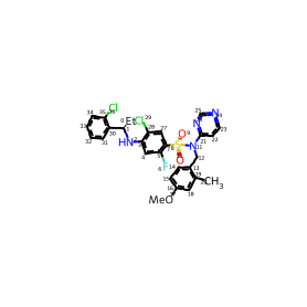 CC[C@H](Nc1cc(F)c(S(=O)(=O)N(Cc2ccc(OC)cc2C)c2ccncn2)cc1Cl)c1ccccc1Cl